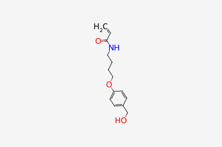 C=CC(=O)NCCCCOc1ccc(CO)cc1